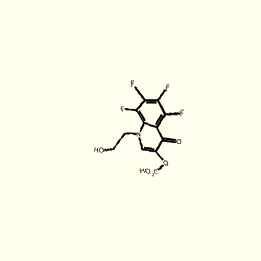 O=C(O)Oc1cn(CCO)c2c(F)c(F)c(F)c(F)c2c1=O